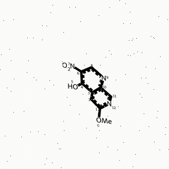 COc1cc2c(O)c([N+](=O)[O-])cnc2cn1